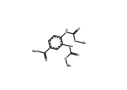 COC(=O)c1ccc(NC(=O)OC(C)(C)C)c(NC(=O)OC(C)(C)C)c1